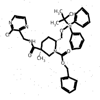 CC(C)(C)[Si](OC[C@H]1CC[C@](C)(C(=O)NCc2nccnc2Cl)CN1C(=O)OCc1ccccc1)(c1ccccc1)c1ccccc1